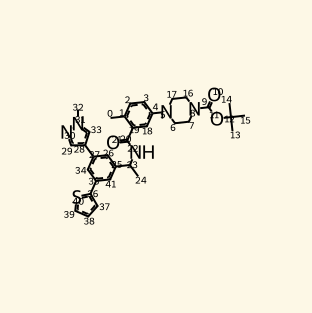 Cc1ccc(N2CCN(C(=O)OC(C)(C)C)CC2)cc1C(=O)NC(C)c1cc(-c2cnn(C)c2)cc(-c2cccs2)c1